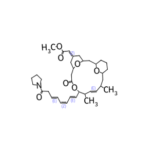 COC(=O)/C=C1\CC2CC(=O)OC(/C=C/C=C\C=C\CC(=O)N3CCCC3)C(C)/C=C/C(C)CC3CCCC(CC(C1)O2)O3